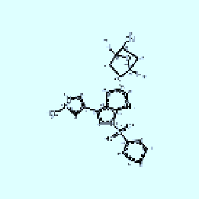 Cn1cc(-c2cn(S(=O)(=O)c3ccccc3)c3ncc([C@@H]4C[C@H]5O[C@@H]4CC5C#N)cc23)cn1